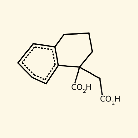 O=C(O)CC1(C(=O)O)CCCc2ccccc21